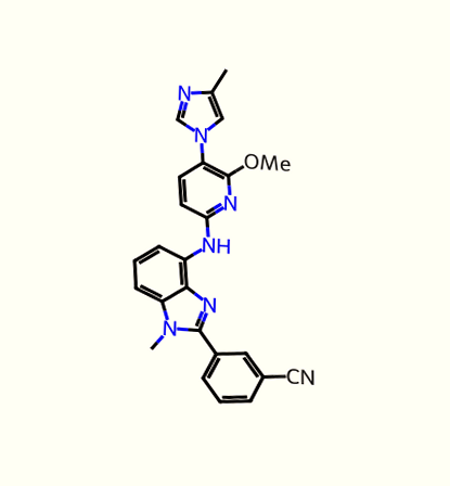 COc1nc(Nc2cccc3c2nc(-c2cccc(C#N)c2)n3C)ccc1-n1cnc(C)c1